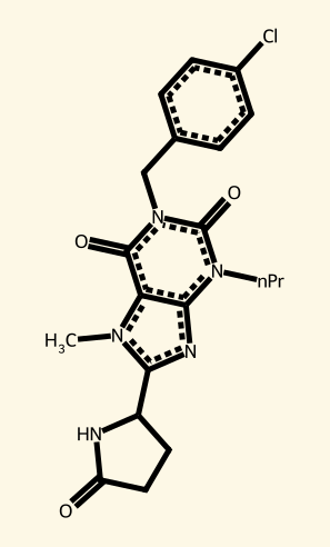 CCCn1c(=O)n(Cc2ccc(Cl)cc2)c(=O)c2c1nc(C1CCC(=O)N1)n2C